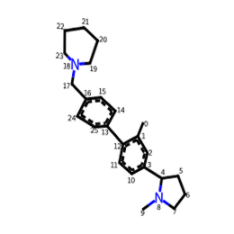 Cc1cc(C2CCCN2C)ccc1-c1ccc(CN2CCCCC2)cc1